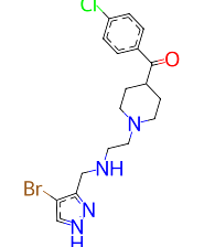 O=C(c1ccc(Cl)cc1)C1CCN(CCNCc2n[nH]cc2Br)CC1